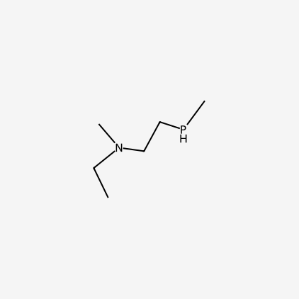 CCN(C)CCPC